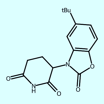 CC(C)(C)c1ccc2oc(=O)n(C3CCC(=O)NC3=O)c2c1